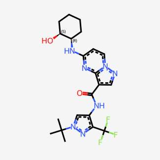 CC(C)(C)n1cc(NC(=O)c2cnn3ccc(N[C@@H]4CCCC[C@@H]4O)nc23)c(C(F)(F)F)n1